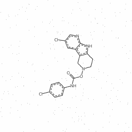 O=C(Nc1ccc(Cl)cc1)ON1CCc2[nH]c3ncc(Cl)cc3c2C1